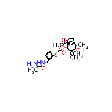 C=C[C@]1(C)C[C@@H](OC(=O)CSc2cccc(CNC(=O)[C@@H](C)N)c2)[C@]2(I)C(C)CC34CC(CCC3=O)(C42)[C@@H](C)[C@@H]1O